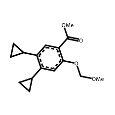 COCOc1cc(C2CC2)c(C2CC2)cc1C(=O)OC